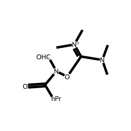 CCCC(=O)N(C=O)OC(N(C)C)=[N+](C)C